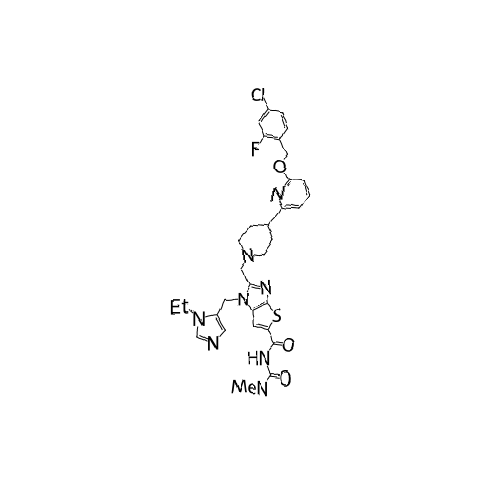 CCn1cncc1Cn1c(CN2CCC(c3cccc(OCc4ccc(Cl)cc4F)n3)CC2)nc2sc(C(=O)NC(=O)NC)cc21